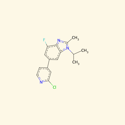 Cc1nc2c(F)cc(-c3ccnc(Cl)c3)cc2n1C(C)C